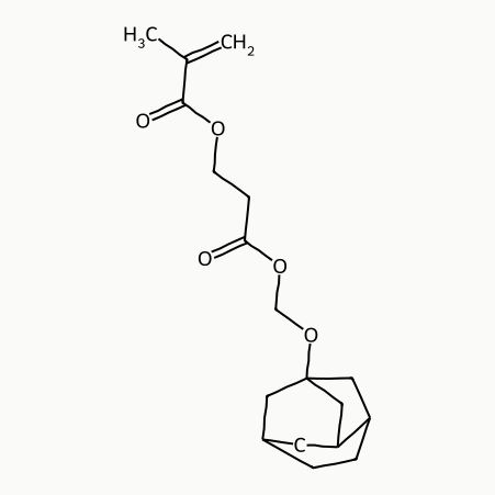 C=C(C)C(=O)OCCC(=O)OCOC12CC3CCC(C1)C(C3)C2